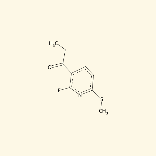 CCC(=O)c1ccc(SC)nc1F